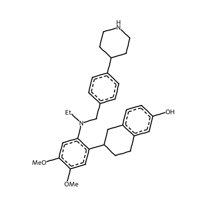 CCN(Cc1ccc(C2CCNCC2)cc1)c1cc(OC)c(OC)cc1C1CCc2cc(O)ccc2C1